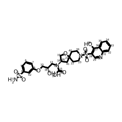 NS(=O)(=O)c1cccc(OC[C@@H](O)CN(C(=O)O)[C@H]2COC3(CCN(S(=O)(=O)c4cnc5ccccc5c4O)CC3)C2)c1